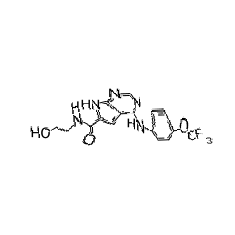 O=C(NCCO)c1cc2c(Nc3ccc(OC(F)(F)F)cc3)ncnc2[nH]1